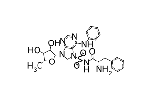 C[C@H]1O[C@@H](N2CN(S(=O)(=O)NC(=O)[C@@H](N)Cc3ccccc3)c3c(Nc4ccccc4)ncnc32)C(O)C1O